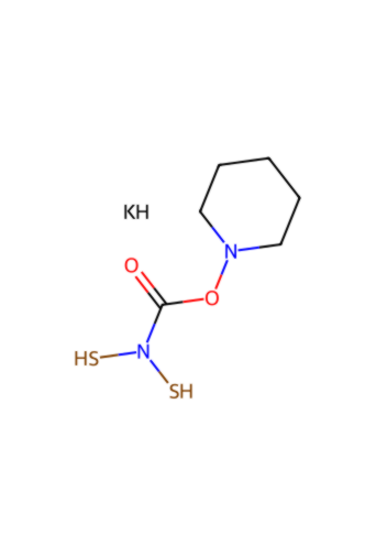 O=C(ON1CCCCC1)N(S)S.[KH]